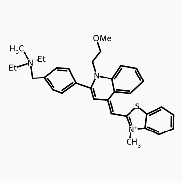 CC[N+](C)(CC)Cc1ccc(C2=C/C(=C/c3sc4ccccc4[n+]3C)c3ccccc3N2CCOC)cc1